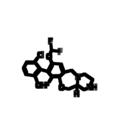 Oc1cccc(Cl)c1-c1c(OC(F)F)cc2c(c1F)OC[C@H]1CNCCN1C2